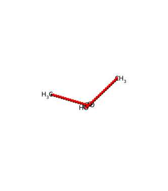 CCCCCCCCCCCCCCCCCCCCCCCCCCCCCC(=O)OCC(CO)OC(=O)CCCCCCCCCCCCCCCCCCCCCCCCCCCCC